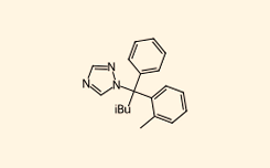 CCC(C)C(c1ccccc1)(c1ccccc1C)n1cncn1